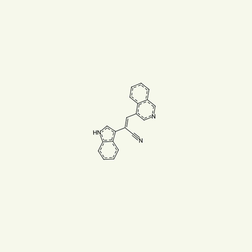 N#C/C(=C\c1cncc2ccccc12)c1c[nH]c2ccccc12